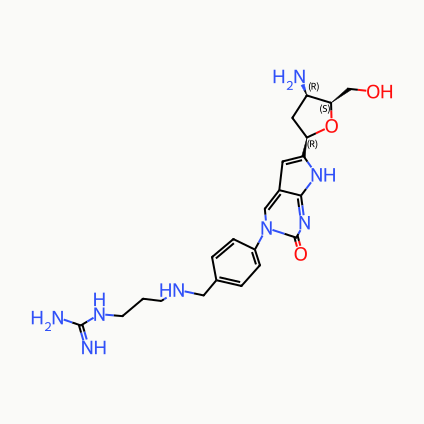 N=C(N)NCCCNCc1ccc(-n2cc3cc([C@H]4C[C@@H](N)[C@@H](CO)O4)[nH]c3nc2=O)cc1